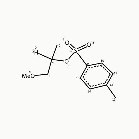 [2H]C(C)(COC)OS(=O)(=O)c1ccc(C)cc1